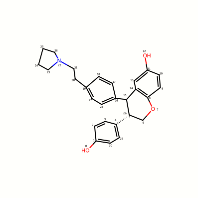 Oc1ccc([C@H]2COc3ccc(O)cc3C2c2ccc(CCN3CCCC3)cc2)cc1